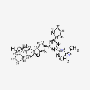 C=N/C(=C\C=C/C)c1nc(-c2ccc3c(c2)oc2cc4c(cc23)C(C)(CC)c2ccccc2-4)nc(-c2ccccn2)n1